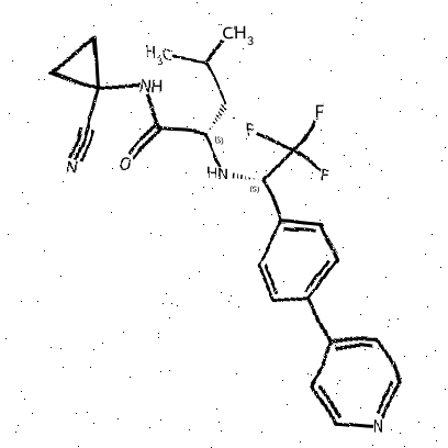 CC(C)C[C@H](N[C@@H](c1ccc(-c2ccncc2)cc1)C(F)(F)F)C(=O)NC1(C#N)CC1